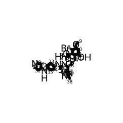 COC(=O)c1c(Br)c(OC)cc(O)c1CSC[C@H](NC(=S)Nc1ccc(Nc2ccncc2)cc1)c1nc(C)no1